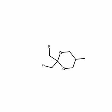 CC1COC(CF)(CF)OC1